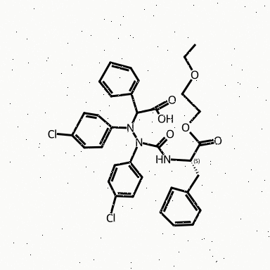 CCOCCOC(=O)[C@H](Cc1ccccc1)NC(=O)N(c1ccc(Cl)cc1)N(c1ccc(Cl)cc1)C(C(=O)O)c1ccccc1